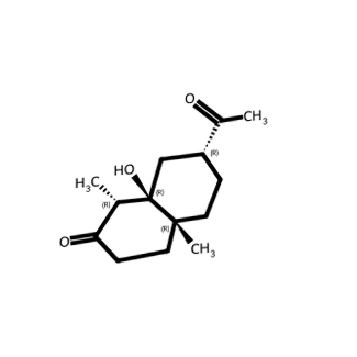 CC(=O)[C@@H]1CC[C@]2(C)CCC(=O)[C@H](C)[C@]2(O)C1